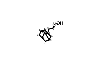 ON=CCC12CC3CC(CC(C3)C1)C2